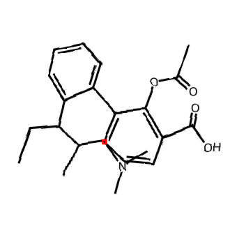 CCC(c1ccccc1-c1cccc(C(=O)O)c1OC(C)=O)C(C)CN(C)C